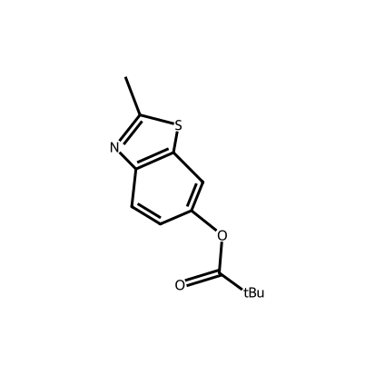 Cc1nc2ccc(OC(=O)C(C)(C)C)cc2s1